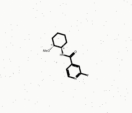 CO[C@@H]1CCCC[C@H]1NC(=O)c1ccnc(F)c1